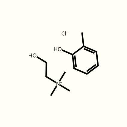 C[N+](C)(C)CCO.Cc1ccccc1O.[Cl-]